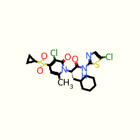 Cc1cc(S(=O)(=O)C2CC2)c(Cl)c(=O)n1[C@@H](CC1CCCCC1)C(=O)Nc1ncc(Cl)s1